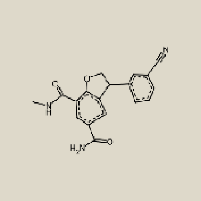 CNC(=O)c1cc(C(N)=O)cc2c1OCC2c1cccc(C#N)c1